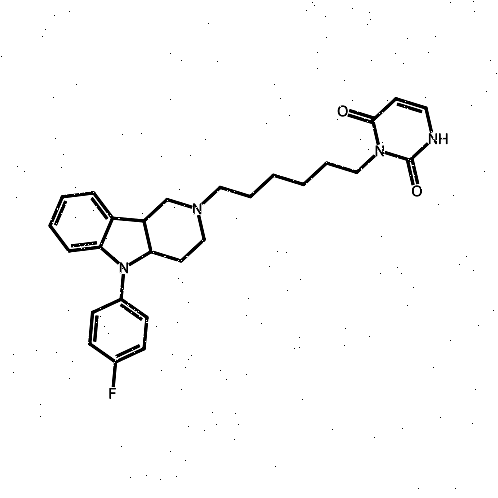 O=c1cc[nH]c(=O)n1CCCCCCN1CCC2C(C1)c1ccccc1N2c1ccc(F)cc1